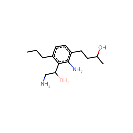 BC(CN)c1c(CCC)ccc(CCC(C)O)c1N